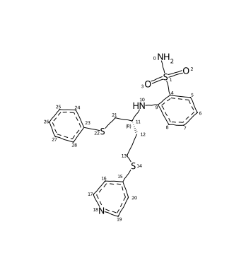 NS(=O)(=O)c1ccccc1N[C@H](CCSc1ccncc1)CSc1ccccc1